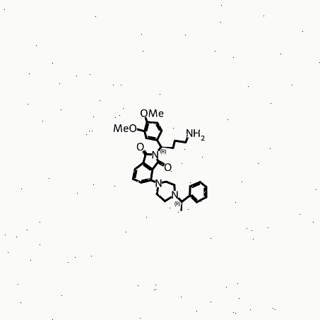 COc1ccc([C@@H](CCCN)N2C(=O)c3cccc(N4CCN([C@H](C)c5ccccc5)CC4)c3C2=O)cc1OC